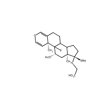 CS[C@]1(SCC(=O)O)CCC2C3CCC4=COC=C[C@]4(C)C3(F)[C@@H](OC(C)=O)C[C@@]21C